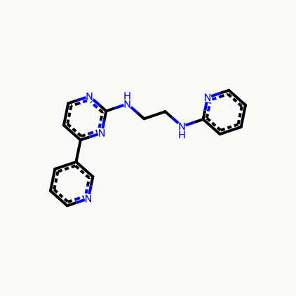 c1ccc(NCCNc2nccc(-c3cccnc3)n2)nc1